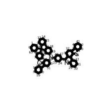 c1ccc(C2(c3ccccc3)c3ccccc3-c3ccc(N(c4ccc(-c5nc6ccccc6c6c5ccc5c7ccccc7sc56)cc4)c4ccc5c(c4)oc4ccccc45)cc32)cc1